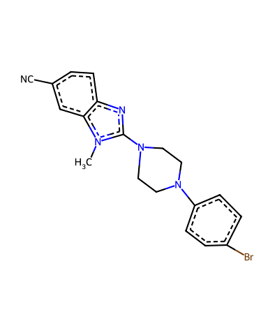 Cn1c(N2CCN(c3ccc(Br)cc3)CC2)nc2ccc(C#N)cc21